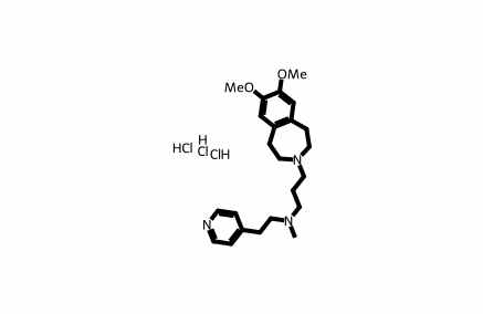 COc1cc2c(cc1OC)CCN(CCCN(C)CCc1ccncc1)CC2.Cl.Cl.Cl